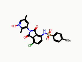 Cc1cc(N2C(=O)c3c(Cl)ccc(NS(=O)(=O)c4ccc(C(C)(C)C)cc4)c3C2=O)c(C)[n+](O)c1